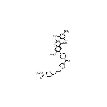 COc1cc2nc(C)nc(N[C@H](C)c3cc(N)cc(C(F)(F)F)c3)c2cc1C1CCC(C(=O)N2CCN(CCCC3CCN(C(=O)OC(C)(C)C)CC3)CC2)CC1